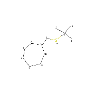 CC(C)(C)SC[C]1CCCCCC1